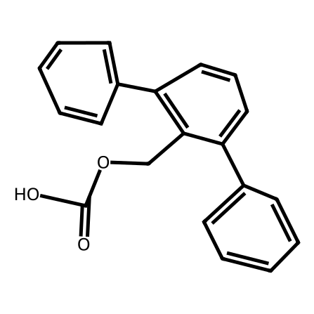 O=C(O)OCc1c(-c2ccccc2)cccc1-c1ccccc1